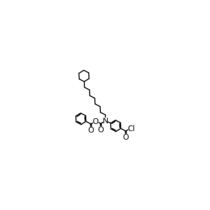 O=C(Cl)c1ccc(N(CCCCCCCCC2CCCCC2)C(=O)OC(=O)c2ccccc2)cc1